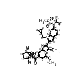 COc1cc(C(=O)N2C[C@H]3CC[C@@H]2[C@@H]3N)cc2nc(-c3cc4ccc(N(C(F)F)S(C)(=O)=O)nc4n3CC3CC3)c(C)n12